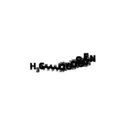 CCCCCCCC[C@H]1CC[C@H](CO[C@H]2CC[C@H](C(=O)Oc3ccc(C#N)c(F)c3)CC2)CC1